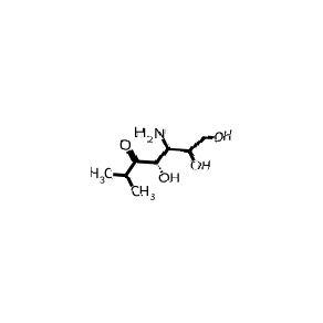 CC(C)C(=O)[C@@H](O)C(N)C(O)CO